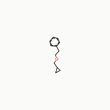 c1ccc(CCOCC2CC2)cc1